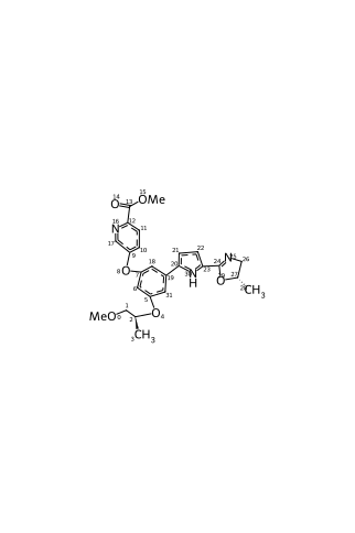 COC[C@H](C)Oc1cc(Oc2ccc(C(=O)OC)nc2)cc(-c2ccc(C3=NC[C@H](C)O3)[nH]2)c1